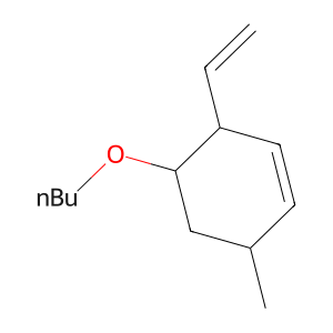 C=CC1C=CC(C)CC1OCCCC